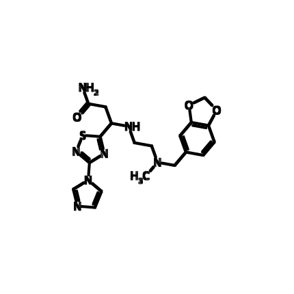 CN(CCNC(CC(N)=O)c1nc(-n2ccnc2)ns1)Cc1ccc2c(c1)OCO2